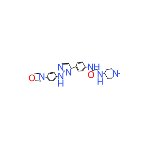 CN1CCC(NCC(=O)Nc2ccc(-c3ccnc(Nc4ccc(N5CCOCC5)cc4)n3)cc2)CC1